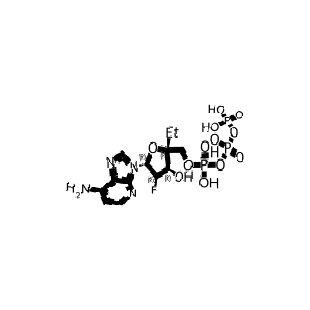 CC[C@]1(COP(=O)(O)OP(=O)(O)OP(=O)(O)O)O[C@@H](n2cnc3c(N)ccnc32)[C@H](F)[C@@H]1O